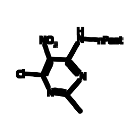 CCCCCNc1nc(C)nc(Cl)c1[N+](=O)[O-]